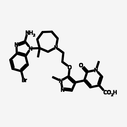 Cn1ncc(-c2cc(C(=O)O)cn(C)c2=O)c1OCCN1CCCCC(C)(n2c(N)nc3ccc(Br)cc32)C1